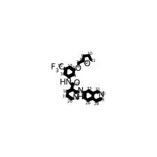 O=C(Nc1cc(OCC2CCCO2)cc(C(F)(F)F)c1)c1cccnc1Nc1ccc2ccncc2c1